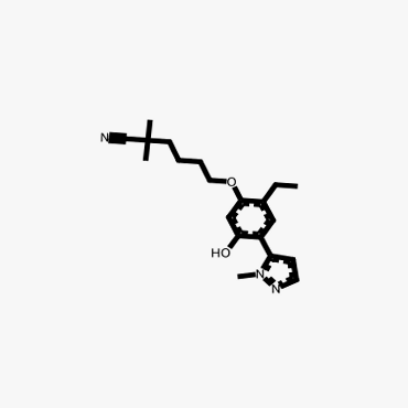 CCc1cc(-c2ccnn2C)c(O)cc1OCCCCC(C)(C)C#N